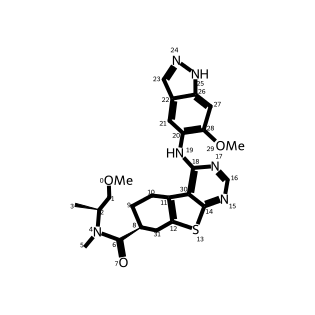 COC[C@H](C)N(C)C(=O)[C@H]1CCc2c(sc3ncnc(Nc4cc5cn[nH]c5cc4OC)c23)C1